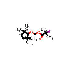 CCC(C)(I)C(=O)OCOC1C(C)(C)CCC1(C)C